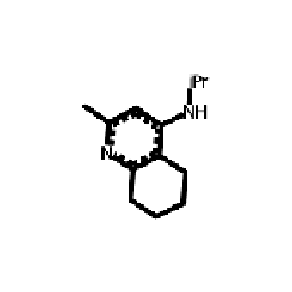 Cc1cc(NC(C)C)c2c(n1)CCCC2